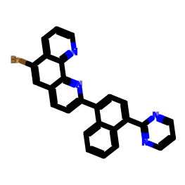 Brc1cc2ccc(-c3ccc(-c4ncccn4)c4ccccc34)nc2c2ncccc12